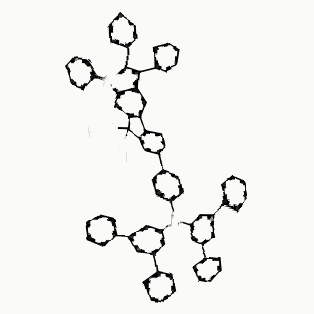 CC1(C)c2cc(-c3ccc(N(c4cc(-c5ccccc5)cc(-c5ccccc5)c4)c4cc(-c5ccccc5)cc(-c5ccccc5)c4)cc3)ccc2-c2cc3c(-c4ccccc4)c(-c4ccccc4)n(-c4ccccc4)c3cc21